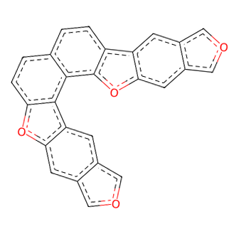 c1occ2cc3c(cc12)oc1c3ccc2ccc3oc4cc5cocc5cc4c3c21